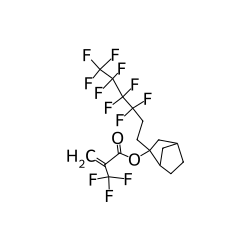 C=C(C(=O)OC1(CCC(F)(F)C(F)(F)C(F)(F)C(F)(F)F)CC2CCC1C2)C(F)(F)F